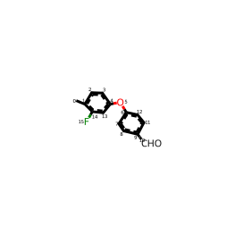 Cc1ccc(Oc2ccc(C=O)cc2)cc1F